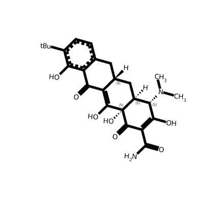 CN(C)[C@@H]1C(O)=C(C(N)=O)C(=O)[C@@]2(O)C(O)=C3C(=O)c4c(ccc(C(C)(C)C)c4O)C[C@@H]3C[C@@H]12